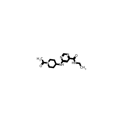 CCNC(=O)c1cc(NC2CCN(C(C)=O)CC2)ncn1